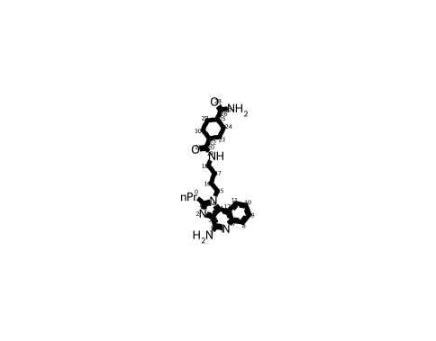 CCCc1nc2c(N)nc3ccccc3c2n1CCCCNC(=O)C1CCC(C(N)=O)CC1